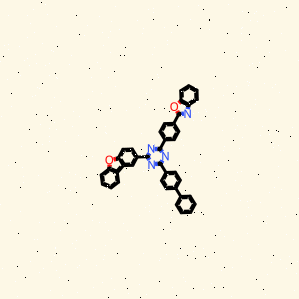 c1ccc(-c2ccc(-c3nc(-c4ccc(-c5nc6ccccc6o5)cc4)nc(-c4ccc5oc6ccccc6c5c4)n3)cc2)cc1